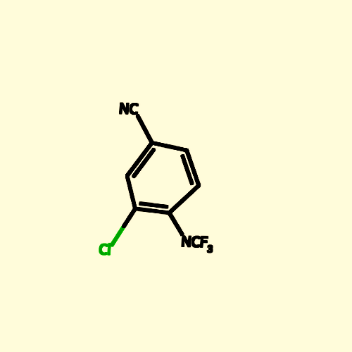 N#Cc1ccc(NC(F)(F)F)c(Cl)c1